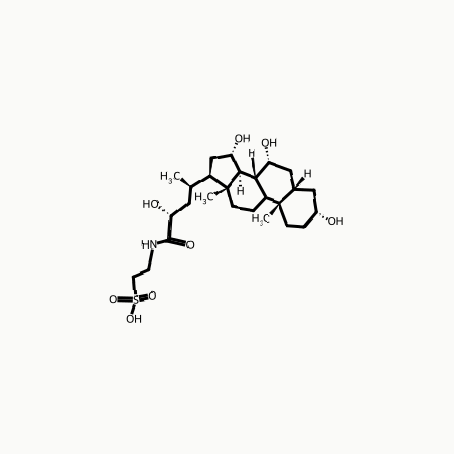 C[C@H](C[C@@H](O)C(=O)NCCS(=O)(=O)O)[C@H]1C[C@H](O)[C@H]2[C@H]3C(CC[C@@]21C)[C@@]1(C)CC[C@@H](O)C[C@H]1C[C@H]3O